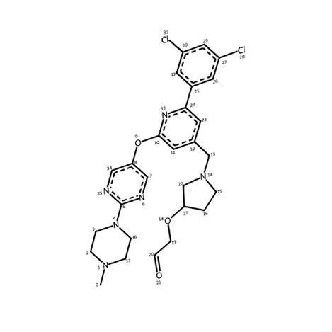 CN1CCN(c2ncc(Oc3cc(CN4CCC(OCC=O)C4)cc(-c4cc(Cl)cc(Cl)c4)n3)cn2)CC1